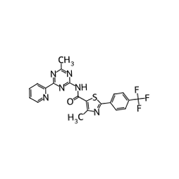 Cc1nc(NC(=O)c2sc(-c3ccc(C(F)(F)F)cc3)nc2C)nc(-c2ccccn2)n1